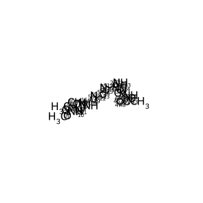 COC(=O)N[C@H](C(=O)N1CCC[C@H]1c1ncc(-c2ccc(-c3ccc4cc(-c5c[nH]c([C@@H]6CCCN6C(=O)[C@H](NC(=O)OC)c6ccccc6)n5)cnc4c3)nc2)[nH]1)C(C)C